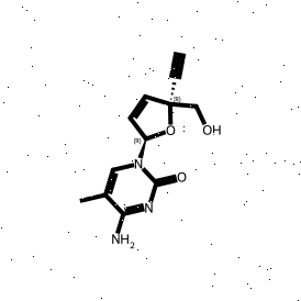 C#C[C@@]1(CO)C=C[C@H](n2cc(C)c(N)nc2=O)O1